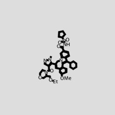 CCOCC1COCCN1C(=O)c1cnn(C)c1C1=Cc2cc(OC)ccc2-c2c(C3CCCCC3)c3ccc(C(=O)NS(=O)(=O)C4CCCC4)cc3n2C1